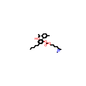 C=C(C)[C@@H]1CCC(C)=C[C@H]1c1c(O)cc(CCCCC)cc1OC(=O)OCCCCC1CN1C